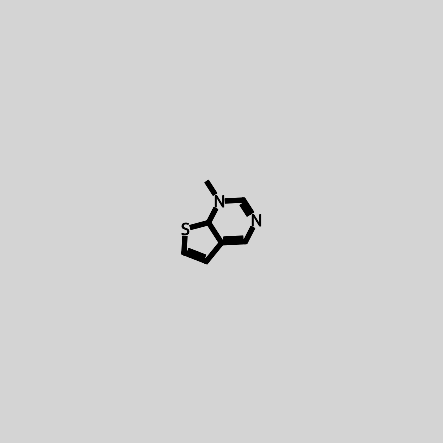 CN1C=NC=C2C=CSC21